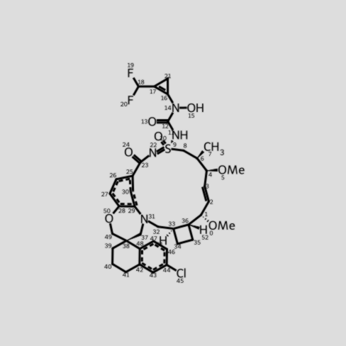 CO[C@H]1/C=C/[C@H](OC)[C@H](C)C[S@@](=O)(NC(=O)N(O)C2=C(C(F)F)C2)=NC(=O)c2ccc3c(c2)N(C[C@@H]2CC[C@H]21)C[C@@]1(CCCc2cc(Cl)ccc21)CO3